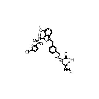 COc1cccc2c1c(NS(=O)(=O)c1ccc(Cl)s1)nn2Cc1cccc(CN[C@@H](CC(N)=O)C(=O)O)c1